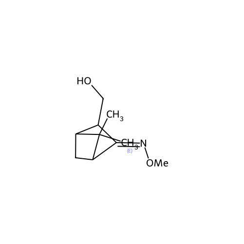 CO/N=C1/C(CO)C2CC1C2(C)C